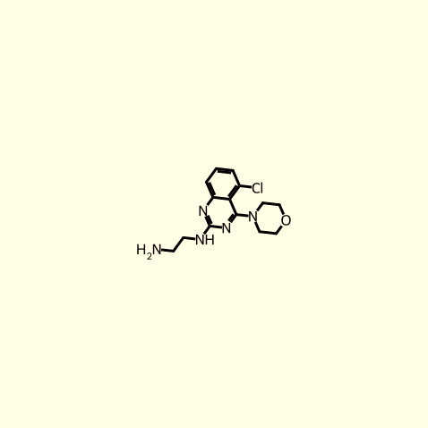 NCCNc1nc(N2CCOCC2)c2c(Cl)cccc2n1